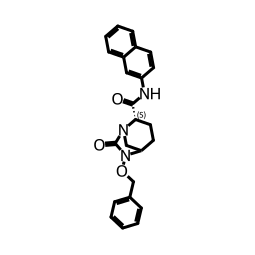 O=C(Nc1ccc2ccccc2c1)[C@@H]1CCC2CN1C(=O)N2OCc1ccccc1